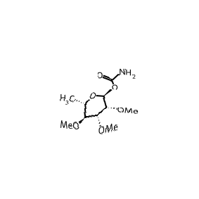 CO[C@@H]1[C@@H](OC)[C@H](C)O[C@@H](OC(N)=O)[C@@H]1OC